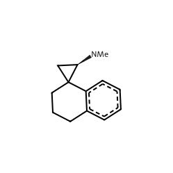 CN[C@@H]1CC12CCCc1ccccc12